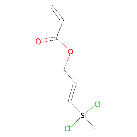 C=CC(=O)OCC=C[Si](C)(Cl)Cl